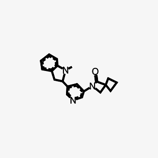 CN1c2ccccc2CC1c1cncc(N2CC3(CCC3)C2=O)c1